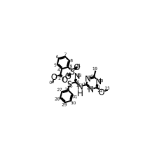 COC(=O)c1ccccc1S(=O)(=O)N=C(Nc1nc(C)nc(OC)n1)Sc1ccccc1